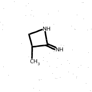 CC1CNC1=N